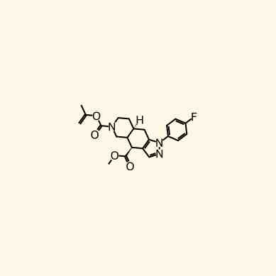 C=C(C)OC(=O)N1CC[C@H]2Cc3c(cnn3-c3ccc(F)cc3)[C@@H](C(=O)OC)C2C1